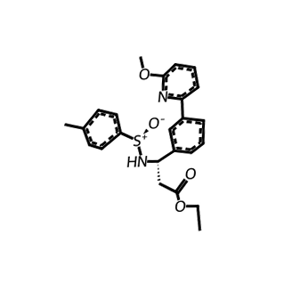 CCOC(=O)C[C@H](N[S@+]([O-])c1ccc(C)cc1)c1cccc(-c2cccc(OC)n2)c1